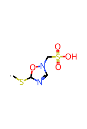 [CH2]SC1N=CN(CS(=O)(=O)O)O1